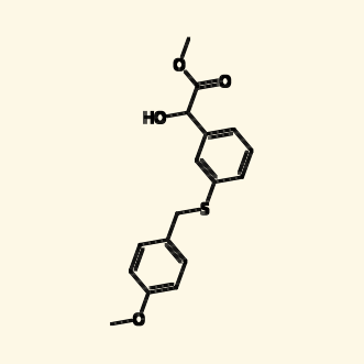 COC(=O)C(O)c1cccc(SCc2ccc(OC)cc2)c1